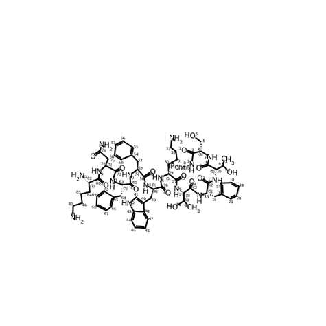 [CH2]CC[C@@H]([CH2])NC(=O)[C@H](CO)NC(=O)[C@@H](NC(=O)[C@H](Cc1ccccc1)NC(=O)[C@@H](NC(=O)[C@H](CCCCN)NC(=O)[C@@H](Cc1c[nH]c2ccccc12)NC(=O)[C@H](Cc1ccccc1)NC(=O)[C@H](Cc1ccccc1)NC(=O)[C@H](CC(N)=O)NC(=O)[C@@H](N)CCCCN)C(C)O)C(C)O